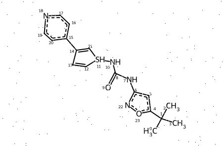 CC(C)(C)c1cc(NC(=O)N[SH]2C=CC(c3ccncc3)=C2)no1